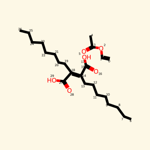 C=COC(C)=O.CCCCCCCCC(C(=O)O)=C(CCCCCCCC)C(=O)O